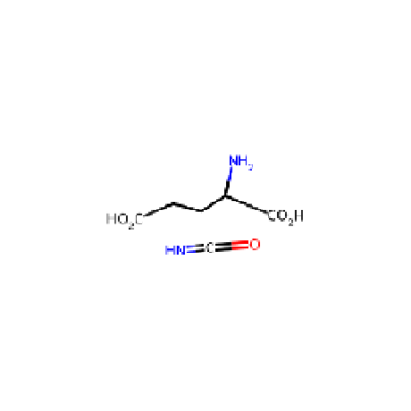 N=C=O.NC(CCC(=O)O)C(=O)O